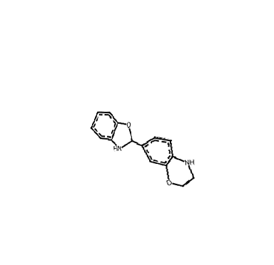 c1ccc2c(c1)NC(c1ccc3c(c1)OCCN3)O2